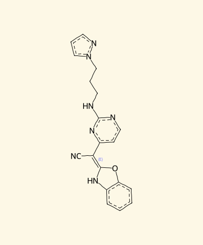 N#C/C(=C1\Nc2ccccc2O1)c1ccnc(NCCCn2cccn2)n1